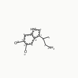 CC(CN)c1c[nH]c2cc(Cl)c(Cl)cc12